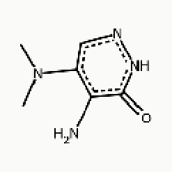 CN(C)c1cn[nH]c(=O)c1N